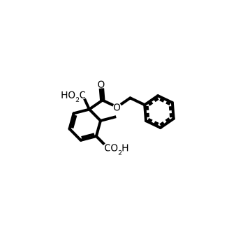 CC1C(C(=O)O)=CC=CC1(C(=O)O)C(=O)OCc1ccccc1